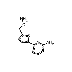 NOCc1ccc(-c2cccc(N)n2)s1